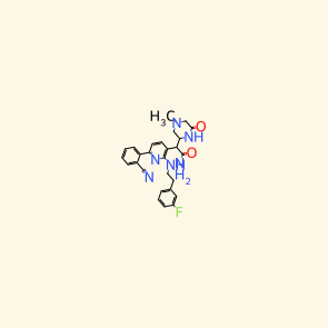 CN1CC(=O)NC(C(C(N)=O)c2ccc(-c3ccccc3C#N)nc2NCCc2cccc(F)c2)C1